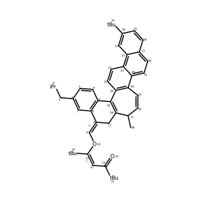 CC(C)Cc1ccc2c(c1)/C(=C/O/C(=C\C(=O)C(C)(C)C)C(C)(C)C)CC1=C2c2ccc3c(ccc4ccc(C(C)(C)C)cc43)c2C=CC1C